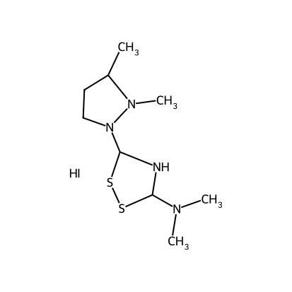 CC1CCN(C2NC(N(C)C)SS2)N1C.I